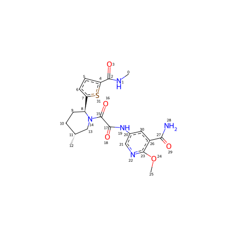 CNC(=O)c1ccc([C@@H]2CC[C@@H](C)CN2C(=O)C(=O)Nc2cnc(OC)c(C(N)=O)c2)s1